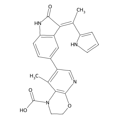 CC(=C1C(=O)Nc2ccc(-c3cnc4c(c3C)N(C(=O)O)CCO4)cc21)c1ccc[nH]1